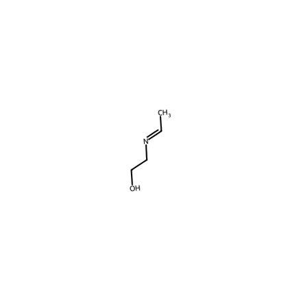 CC=NCCO